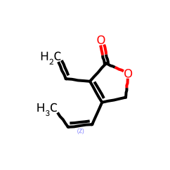 C=CC1=C(/C=C\C)COC1=O